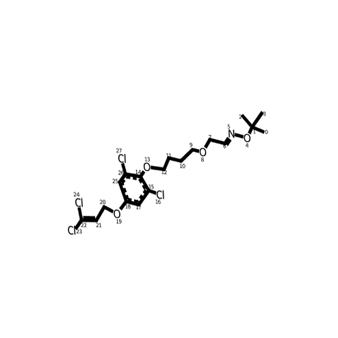 CC(C)(C)ON=CCOCCCCOc1c(Cl)cc(OCC=C(Cl)Cl)cc1Cl